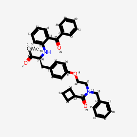 COC(=O)[C@H](Cc1ccc(OCCN(Cc2ccccc2)C(=O)C2CCC2)cc1)Nc1ccccc1C(=O)c1ccccc1